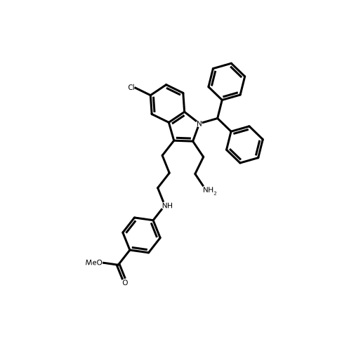 COC(=O)c1ccc(NCCCc2c(CCN)n(C(c3ccccc3)c3ccccc3)c3ccc(Cl)cc23)cc1